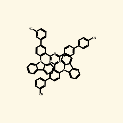 N#Cc1ccc(-c2ccc(-c3nc(-c4cc(-c5cccc(C#N)c5)ccc4-n4c5ccccc5c5ccccc54)nc(-c4cc(-c5cccc(C#N)c5)ccc4-n4c5ccccc5c5ccccc54)n3)cc2)cc1